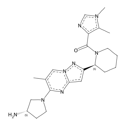 Cc1cn2nc([C@@H]3CCCCN3C(=O)c3ncn(C)c3C)cc2nc1N1CC[C@H](N)C1